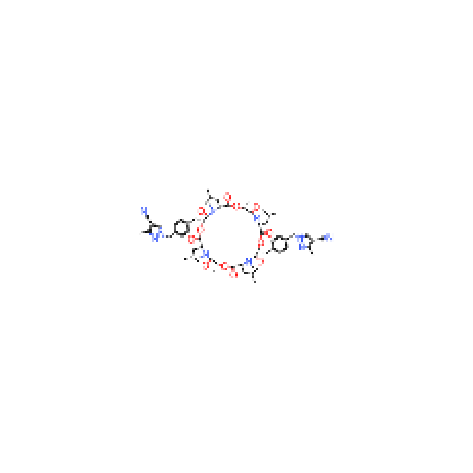 Cc1nn(Cc2ccc(C[C@H]3OC(=O)[C@H](CC(C)C)N(C)C(=O)[C@@H](C)OC(=O)[C@H](CC(C)C)N(C)C(=O)[C@@H](Cc4ccc(Cn5cc(C#N)c(C)n5)cc4)OC(=O)[C@H](CC(C)C)N(C)C(=O)[C@@H](C)OC(=O)[C@H](CC(C)C)N(C)C3=O)cc2)cc1C#N